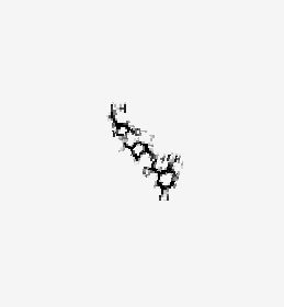 Cc1ncc(Cl)cc1C(=O)NC1CCC(Cn2nc(CO)cc2C)CC1